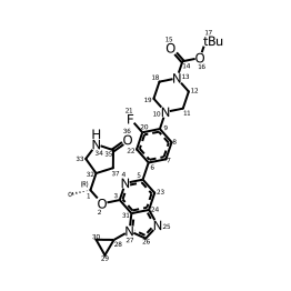 C[C@@H](Oc1nc(-c2ccc(N3CCN(C(=O)OC(C)(C)C)CC3)c(F)c2)cc2ncn(C3CC3)c12)C1CNC(=O)C1